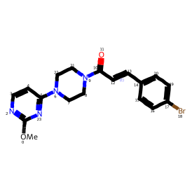 COc1nccc(N2CCN(C(=O)/C=C/c3ccc(Br)cc3)CC2)n1